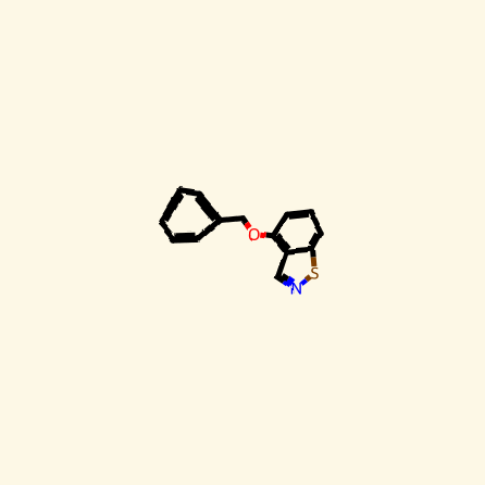 c1ccc(COc2cccc3sncc23)cc1